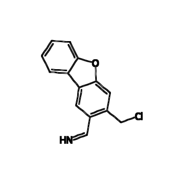 N=Cc1cc2c(cc1CCl)oc1ccccc12